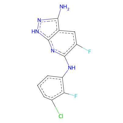 Nc1n[nH]c2nc(Nc3cccc(Cl)c3F)c(F)cc12